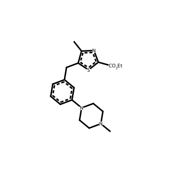 CCOC(=O)c1nc(C)c(Cc2cccc(N3CCN(C)CC3)c2)s1